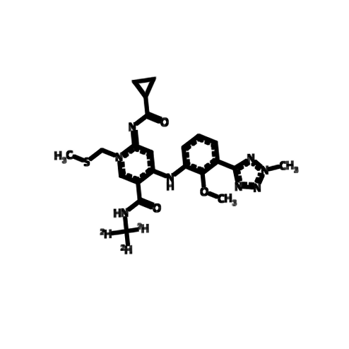 [2H]C([2H])([2H])NC(=O)c1cn(CSC)c(=NC(=O)C2CC2)cc1Nc1cccc(-c2nnn(C)n2)c1OC